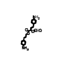 Nc1ccc(C=CCOC(=O)C(C=Cc2ccc(N)cc2)O[C]=O)cc1